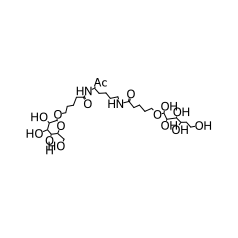 CC(=O)C(CCCCNC(=O)CCCCOC(O)C(O)C(O)C(O)CCO)NC(=O)CCCCOC1OC(CO)C(O)C(O)C1O